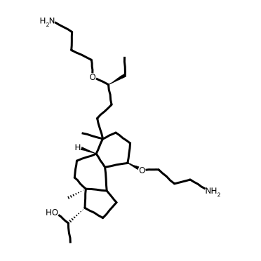 CC[C@@H](CCC1(C)CC[C@@H](OCCCN)C2C3CC[C@H](C(C)O)[C@@]3(C)CC[C@@H]21)OCCCN